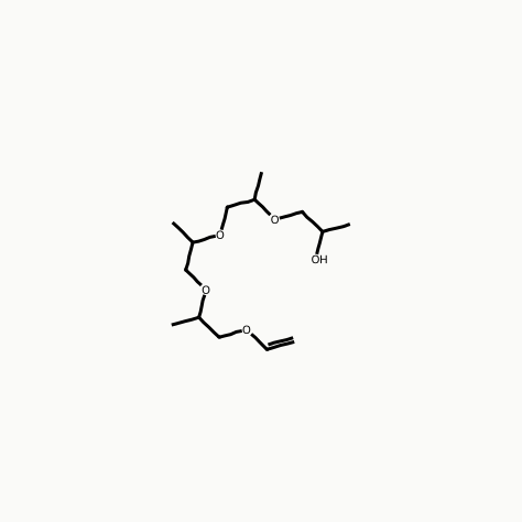 C=COCC(C)OCC(C)OCC(C)OCC(C)O